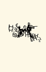 C=CC(=C)CC[C@H](NC(=O)OC(C)(C)C)C(=O)Nc1cc(F)c(Br)cc1OCCN(C)C